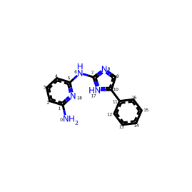 Nc1cccc(Nc2ncc(-c3ccccc3)[nH]2)n1